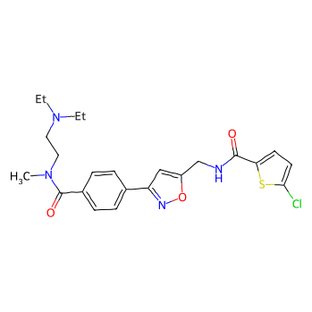 CCN(CC)CCN(C)C(=O)c1ccc(-c2cc(CNC(=O)c3ccc(Cl)s3)on2)cc1